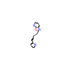 C(#Cc1ccccn1)CCc1nc2cccnc2o1